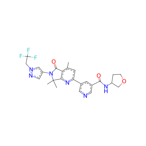 Cc1cc(-c2cncc(C(=O)NC3CCOC3)c2)nc2c1C(=O)N(c1cnn(CC(F)(F)F)c1)C2(C)C